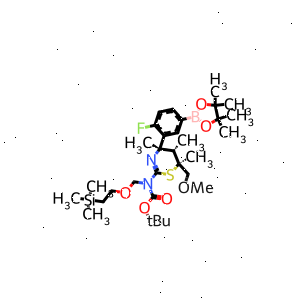 COC[C@@]1(C)SC(N(COCC[Si](C)(C)C)C(=O)OC(C)(C)C)=N[C@](C)(c2cc(B3OC(C)(C)C(C)(C)O3)ccc2F)[C@@H]1C